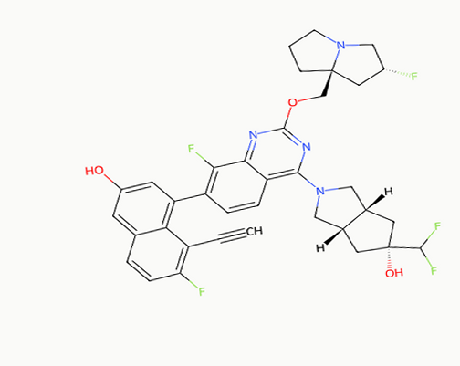 C#Cc1c(F)ccc2cc(O)cc(-c3ccc4c(N5C[C@@H]6C[C@@](O)(C(F)F)C[C@@H]6C5)nc(OC[C@@]56CCCN5C[C@H](F)C6)nc4c3F)c12